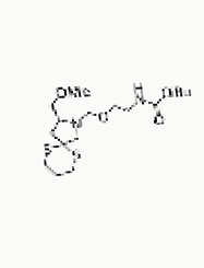 COC[C@@H]1CC2(CN1COCCNC(=O)OCC(C)C)SCCCS2